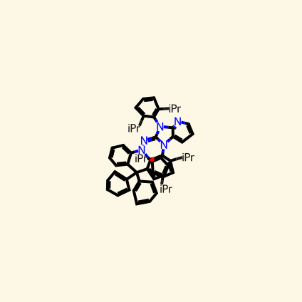 CC(C)c1cc(C(C)C)c(-n2/c(=N\N3c4ccccc4C(c4ccccc4)(c4ccccc4)c4ccccc43)n(-c3c(C(C)C)cccc3C(C)C)c3ncccc32)c(C(C)C)c1